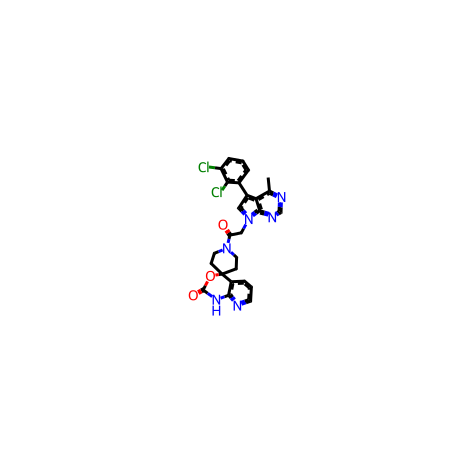 Cc1ncnc2c1c(-c1cccc(Cl)c1Cl)cn2CC(=O)N1CCC2(CC1)OC(=O)Nc1ncccc12